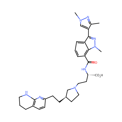 Cc1nn(C)cc1-c1nn(C)c2c(C(=O)N[C@@H](CCN3CC[C@@H](CCc4ccc5c(n4)NCCC5)C3)C(=O)O)cccc12